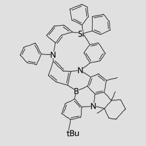 Cc1cc2c3c4c1C1(C)CCCCC1(C)N4c1cc(C(C)(C)C)ccc1B3c1ccc3cc1N2c1cccc(c1)[Si](c1ccccc1)(c1ccccc1)c1cccc(c1)N3c1ccccc1